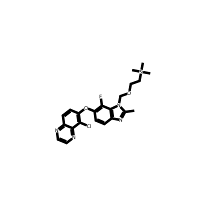 Cc1nc2ccc(Oc3ccc4nccnc4c3Cl)c(F)c2n1COCC[Si](C)(C)C